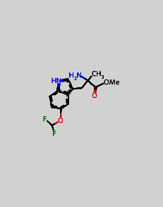 COC(=O)C(C)(N)Cc1c[nH]c2ccc(OC(F)F)cc12